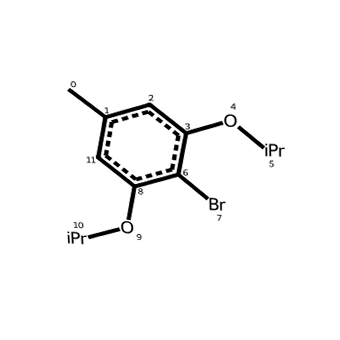 Cc1cc(OC(C)C)c(Br)c(OC(C)C)c1